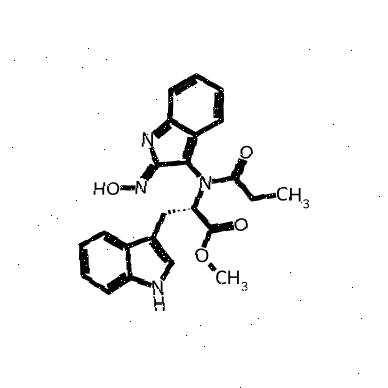 CCC(=O)N(C1=c2ccccc2=NC1=NO)[C@@H](Cc1c[nH]c2ccccc12)C(=O)OC